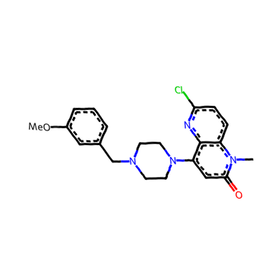 COc1cccc(CN2CCN(c3cc(=O)n(C)c4ccc(Cl)nc34)CC2)c1